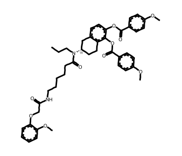 CCCN(C(=O)CCCCCNC(=O)COc1ccccc1OC)[C@H]1CCc2c(ccc(OC(=O)c3ccc(OC)cc3)c2OC(=O)c2ccc(OC)cc2)C1